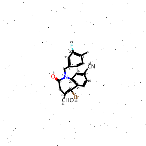 Cc1ccc(CN2C(=O)CC(C=O)=C(Br)c3ccc(C#N)cc32)cc1F